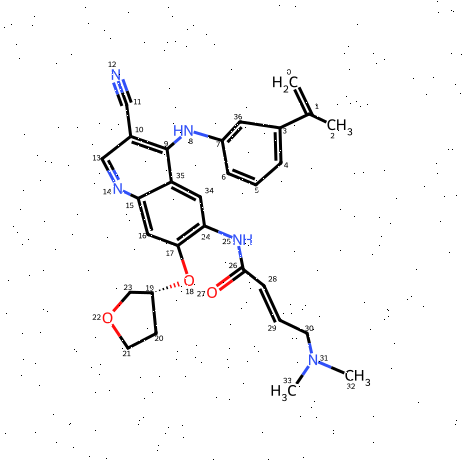 C=C(C)c1cccc(Nc2c(C#N)cnc3cc(O[C@@H]4CCOC4)c(NC(=O)/C=C/CN(C)C)cc23)c1